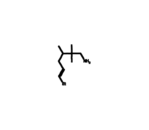 CC/C=C/CC(C)C(C)(C)CN